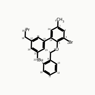 Cc1cc(Br)c(OCc2ccccc2)c(-c2cc(CC(C)C)cc(C(C)(C)C)c2)c1